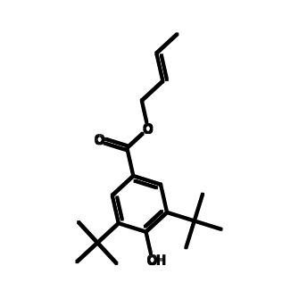 C/C=C/COC(=O)c1cc(C(C)(C)C)c(O)c(C(C)(C)C)c1